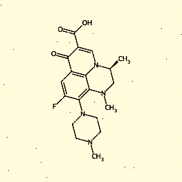 C[C@H]1CN(C)c2c(N3CCN(C)CC3)c(F)cc3c(=O)c(C(=O)O)cn1c23